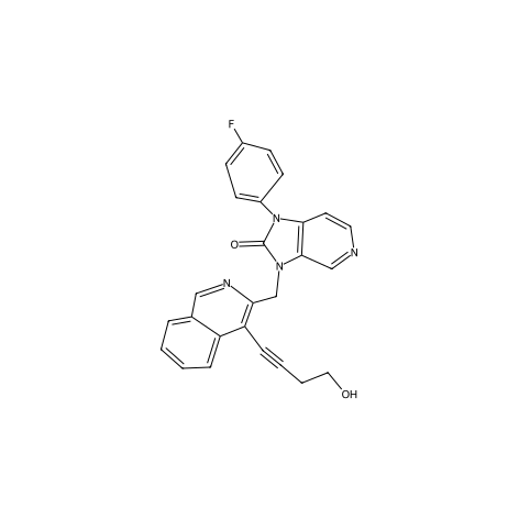 O=c1n(Cc2ncc3ccccc3c2C#CCCO)c2cnccc2n1-c1ccc(F)cc1